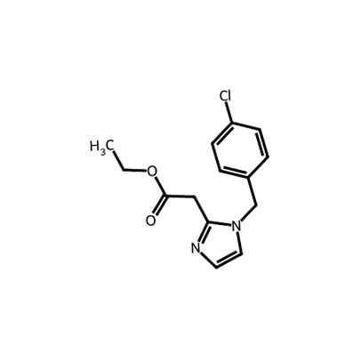 CCOC(=O)Cc1nccn1Cc1ccc(Cl)cc1